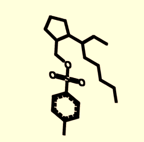 CCCCCC(CC)C1CCCC1COS(=O)(=O)c1ccc(C)cc1